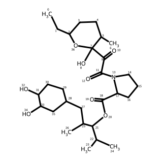 CCC1CCC(C)C(O)(C(=O)C(=O)N2CCCC2C(=O)OC(C(C)C)C(C)CC2CCC(O)C(O)C2)O1